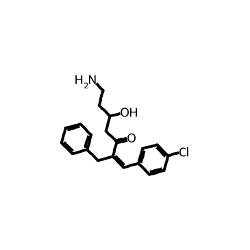 NCCC(O)CC(=O)C(=Cc1ccc(Cl)cc1)Cc1ccccc1